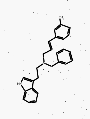 Cc1cccc(C=CCN(CCc2c[nH]c3ccccc23)Cc2ccccc2)c1